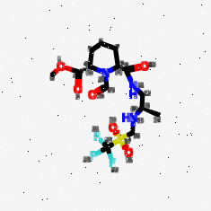 COC(=O)[C@@H]1CCC[C@H](C(=O)NC[C@@H](C)NCS(=O)(=O)C(F)(F)F)N1C=O